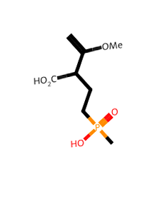 C=C(OC)C(CCP(C)(=O)O)C(=O)O